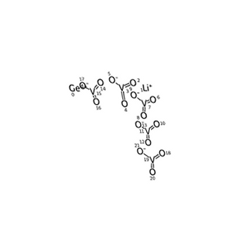 [Ge+4].[Li+].[O]=[V](=[O])[O-].[O]=[V](=[O])[O-].[O]=[V](=[O])[O-].[O]=[V](=[O])[O-].[O]=[V](=[O])[O-]